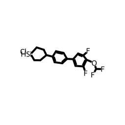 Fc1cc(-c2ccc(C3CC[SiH](Cl)CC3)cc2)cc(F)c1OC(F)F